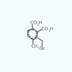 Cc1ccc(C(=O)O)c(C(=O)O)c1CBr